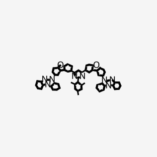 Cc1cc(C)c(-c2nc(-c3ccc4oc5ccc(-n6c7ccccc7n7c8ccccc8nc67)cc5c4c3)cc(-c3ccc4oc5ccc(-n6c7ccccc7n7c8ccccc8nc67)cc5c4c3)n2)c(C)c1